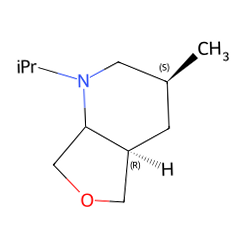 CC(C)N1C[C@@H](C)C[C@H]2COCC21